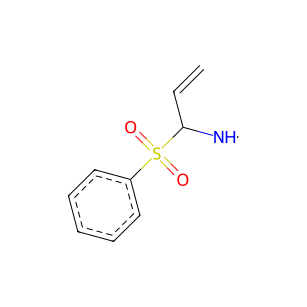 C=CC([NH])S(=O)(=O)c1ccccc1